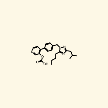 CCCCc1nc(CC(C)C)nn1Cc1ccc(-c2ccncc2OC(=O)O)cc1